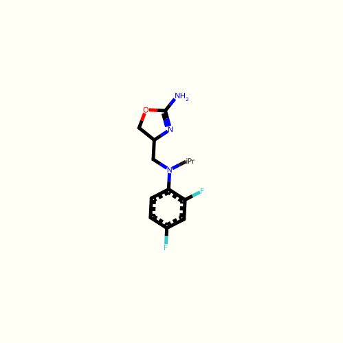 CC(C)N(CC1COC(N)=N1)c1ccc(F)cc1F